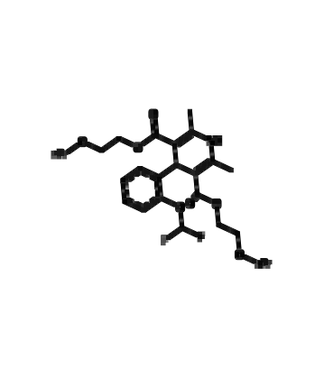 CCCOCCOC(=O)C1=C(C)NC(C)=C(C(=O)OCCOCCC)C1c1ccccc1OC(F)F